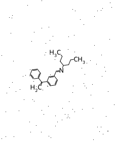 C=C(c1ccccc1)c1cccc(C=NC(CCC)CCC)c1